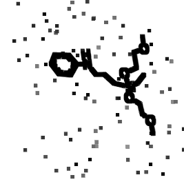 CC[Si](CCCNc1ccccc1)(OCCOC)OCCOC